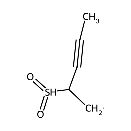 [CH2]C(C#CC)[SH](=O)=O